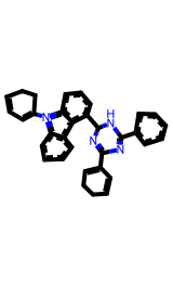 C1=CCCC(n2c3ccccc3c3c(C4N=C(C5=CCCC=C5)N=C(c5ccccc5)N4)cccc32)=C1